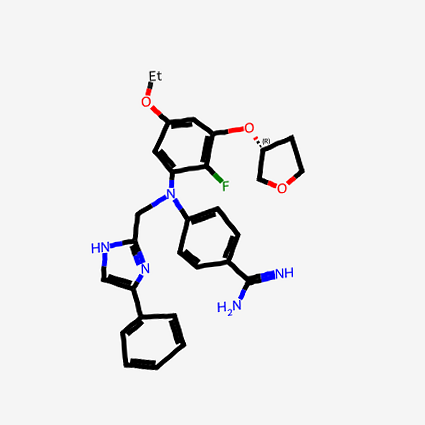 CCOc1cc(O[C@@H]2CCOC2)c(F)c(N(Cc2nc(-c3ccccc3)c[nH]2)c2ccc(C(=N)N)cc2)c1